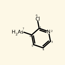 Clc1ncccc1[AsH2]